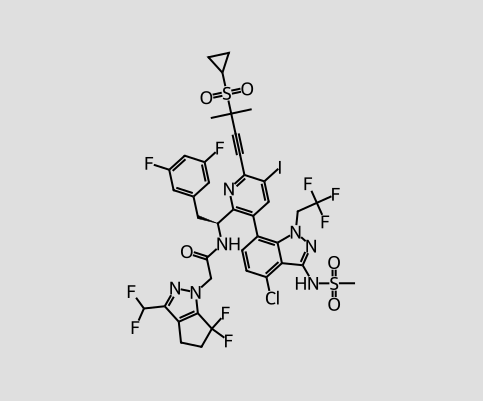 CC(C)(C#Cc1nc([C@H](Cc2cc(F)cc(F)c2)NC(=O)Cn2nc(C(F)F)c3c2C(F)(F)CC3)c(-c2ccc(Cl)c3c(NS(C)(=O)=O)nn(CC(F)(F)F)c23)cc1I)S(=O)(=O)C1CC1